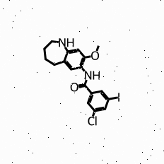 COc1cc2c(cc1NC(=O)c1cc(Cl)cc(I)c1)CCCCN2